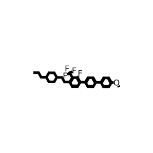 CCCC1CCC(CCc2ccc(-c3ccc(-c4ccc(OC)cc4)cc3)c(F)c2C(F)(F)F)CC1